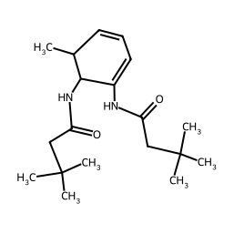 CC1C=CC=C(NC(=O)CC(C)(C)C)C1NC(=O)CC(C)(C)C